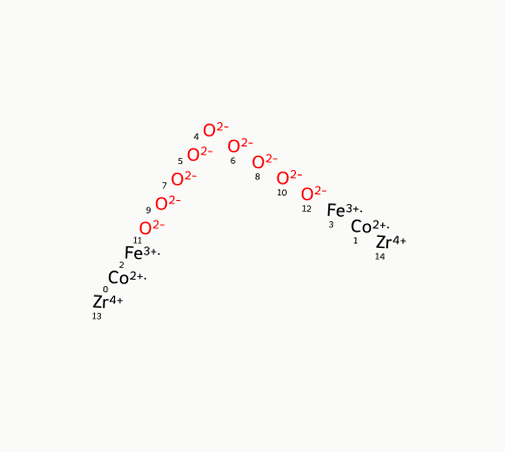 [Co+2].[Co+2].[Fe+3].[Fe+3].[O-2].[O-2].[O-2].[O-2].[O-2].[O-2].[O-2].[O-2].[O-2].[Zr+4].[Zr+4]